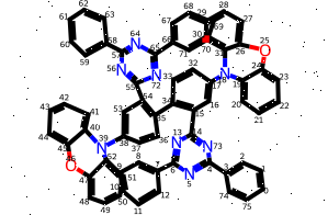 c1ccc(-c2nc(-c3ccccc3)nc(-c3cc(N4c5ccccc5Oc5ccccc54)ccc3-c3ccc(N4c5ccccc5Oc5ccccc54)cc3-c3nc(-c4ccccc4)nc(-c4ccccc4)n3)n2)cc1